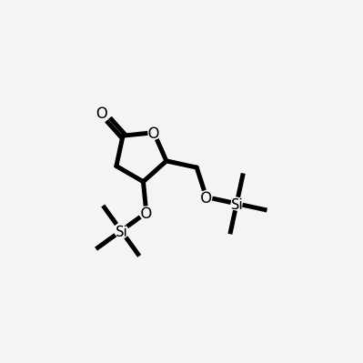 C[Si](C)(C)OCC1OC(=O)CC1O[Si](C)(C)C